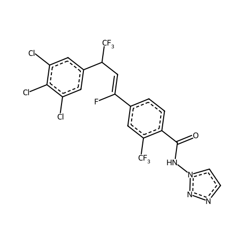 O=C(Nn1ccnn1)c1ccc(C(F)=CC(c2cc(Cl)c(Cl)c(Cl)c2)C(F)(F)F)cc1C(F)(F)F